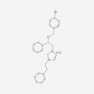 Brc1ccc(COC(CN2C=CN(CCc3ccccc3)C2)c2ccccc2)cc1.Cl